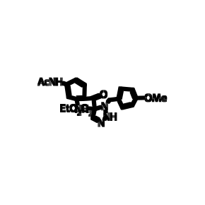 CCOC(=O)C1(C(=O)c2ccc(NC(C)=O)cc2N)C=NNN1Cc1ccc(OC)cc1